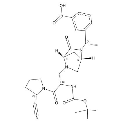 C[C@@H](c1cccc(C(=O)O)c1)N1C(=O)[C@@H]2C[C@H]1CN2C[C@H](NC(=O)OC(C)(C)C)C(=O)N1CCC[C@H]1C#N